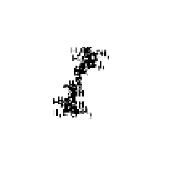 COC(CCn1cnc2c(NC(=O)CC(C)(C)c3c(C)cc(C)cc3OC(C)=O)nc(F)nc21)COC(=O)CC(C)(C)c1c(C)cc(C)cc1OC(C)=O